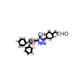 Cn1c(CO[Si](c2ccccc2)(c2ccccc2)C(C)(C)C)nnc1C1CCC(CC=O)CC1